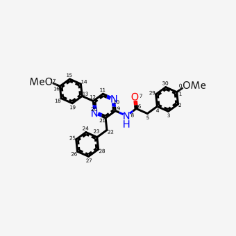 COc1ccc(CC(=O)Nc2ncc(-c3ccc(OC)cc3)nc2Cc2ccccc2)cc1